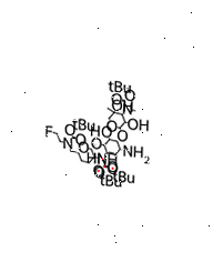 CN(C(=O)OC(C)(C)C)[C@@H]1C(O)[C@@H](OC2C(O)C(O[C@H]3O[C@H](CN(CCF)C(=O)OC(C)(C)C)CCC3NC(=O)OC(C)(C)C)C(NC(=O)OC(C)(C)C)=C[C@H]2N)OCC1(C)O